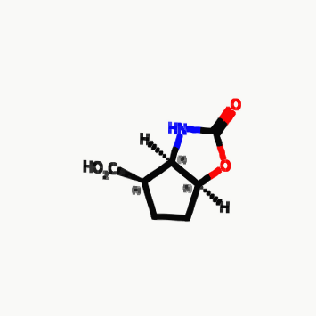 O=C1N[C@H]2[C@H](CC[C@H]2C(=O)O)O1